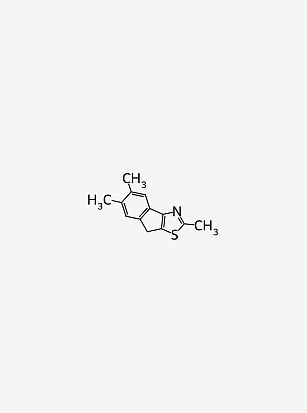 Cc1nc2c(s1)Cc1cc(C)c(C)cc1-2